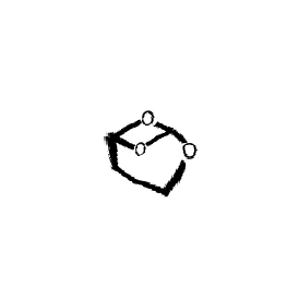 C1COC2OC(C1)O2